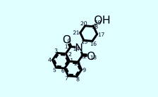 O=C1c2cccc3cccc(c23)C(=O)N1[C@H]1CC[C@@H](O)CC1